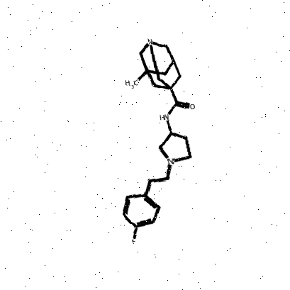 CC12CC3CN(C1)CC(C(=O)NC1CCN(CCc4ccc(F)cc4)C1)(C3)C2